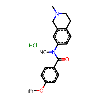 CC(C)Oc1ccc(C(=O)N(C#N)c2ccc3c(c2)CN(C)CC3)cc1.Cl